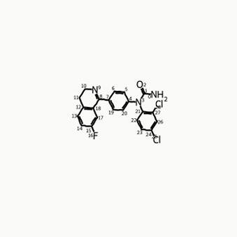 NC(=O)N(c1ccc(C2=NCCc3ccc(F)cc32)cc1)c1ccc(Cl)cc1Cl